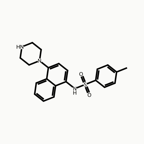 Cc1ccc(S(=O)(=O)Nc2ccc(N3CCNCC3)c3ccccc23)cc1